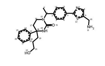 CC(c1ccc(-c2ncc(CN)s2)cc1)N1CCC(CCCO)(c2ccccc2)NC1=O